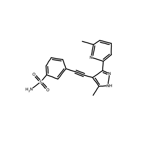 Cc1cccc(-c2n[nH]c(C)c2C#Cc2cccc(S(N)(=O)=O)c2)n1